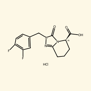 Cl.O=C(O)[C@H]1CCCc2nn(Cc3ccc(F)c(F)c3)c(=O)n21